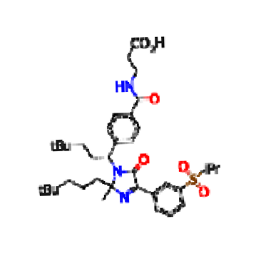 CC(C)S(=O)(=O)c1cccc(C2=NC(C)(CCCC(C)(C)C)N([C@H](CCC(C)(C)C)c3ccc(C(=O)NCCC(=O)O)cc3)C2=O)c1